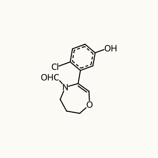 O=CN1CCCOC=C1c1cc(O)ccc1Cl